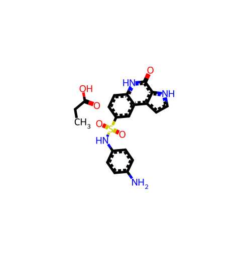 CCC(=O)O.Nc1ccc(NS(=O)(=O)c2ccc3[nH]c(=O)c4[nH]ccc4c3c2)cc1